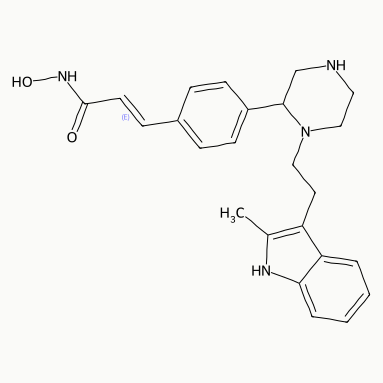 Cc1[nH]c2ccccc2c1CCN1CCNCC1c1ccc(/C=C/C(=O)NO)cc1